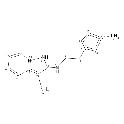 C[n+]1ccn(CCNC2NN3C=CC=CC3=C2N)c1